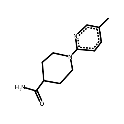 Cc1ccc(N2CCC(C(N)=O)CC2)nc1